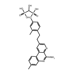 Cc1ccc2c(c1)nc(N)c1ncc(CCc3ccc(OP(=O)(O)C(O)P(=O)(O)O)cc3C)cc12